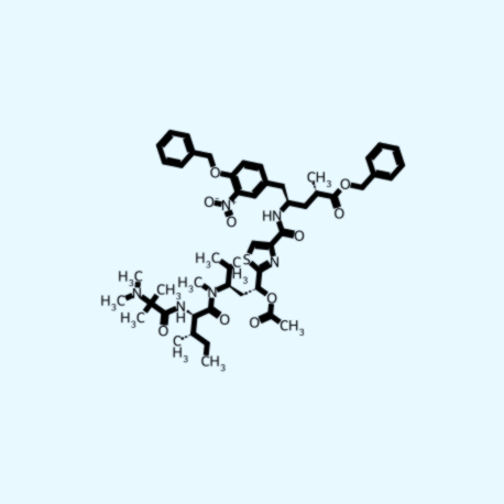 CC[C@H](C)[C@H](NC(=O)C(C)(C)N(C)C)C(=O)N(C)[C@H](C[C@@H](OC(C)=O)c1nc(C(=O)N[C@@H](Cc2ccc(OCc3ccccc3)c([N+](=O)[O-])c2)C[C@H](C)C(=O)OCc2ccccc2)cs1)C(C)C